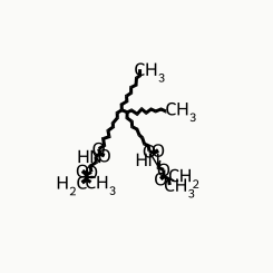 C=C(C)C(=O)OCCNC(=O)OCCCCCCCCC(CCCCCCCCC)C(CCCCCCCCC)CCCCCCCCOC(=O)NCCOC(=O)C(=C)C